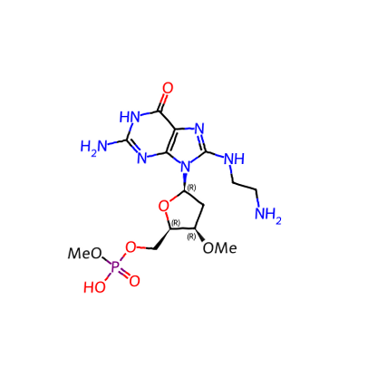 CO[C@@H]1C[C@H](n2c(NCCN)nc3c(=O)[nH]c(N)nc32)O[C@@H]1COP(=O)(O)OC